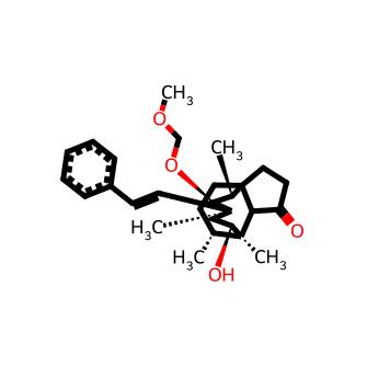 COCO[C@H]1[C@H](C)C23CCC(=O)C2[C@@](C)([C@H](C)CC3)[C@H](O)C[C@@]1(C)C=Cc1ccccc1